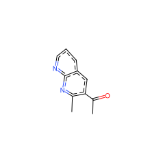 CC(=O)c1cc2cccnc2nc1C